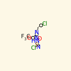 O=C(NCc1cnc(Cl)s1)n1c2c(c3cc(OC(F)(F)F)ccc31)CN(C/C=C/c1ccc(Cl)cc1)CC2